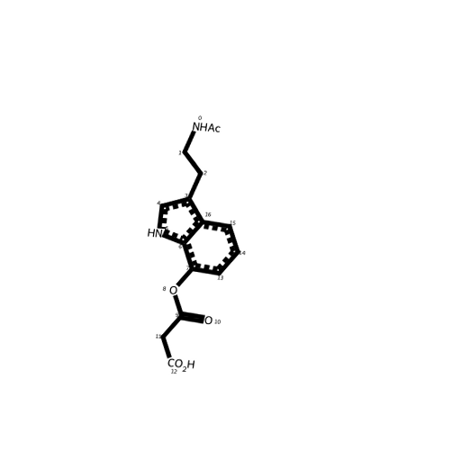 CC(=O)NCCc1c[nH]c2c(OC(=O)CC(=O)O)cccc12